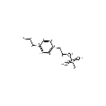 CCCc1ccc(CCOS(C)(=O)=O)cc1